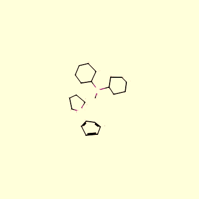 c1ccc([P@]2CCC[C@@H]2CP(C2CCCCC2)C2CCCCC2)cc1